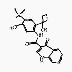 CS(C)(C)c1cc(C2(C#N)CCC2)c(NC(=O)c2c[nH]c3ccccc3c2=O)cc1O